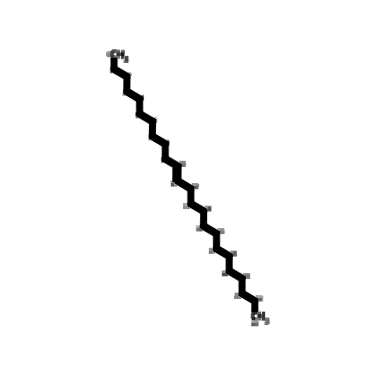 CCCCCCCCCC/C=C/CCCCCCCCCCCC